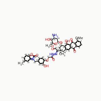 COc1cccc2c1C(=O)c1c(cc3c(c1O)[C@@H](O[C@@H]1C[C@H](N)[C@H](O)[C@H](C)O1)C[C@](C)(/C(CO)=N/NC(=O)COc1ccc(Cn4c(=O)oc5ccc(C)cc54)cc1O)C3)C2=O